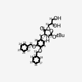 CC(C)(C)OC(=O)N[C@@H](Cc1ccc(OCc2ccccc2)c(OCc2ccccc2)c1)C(=O)OC[C@@H](O)CO